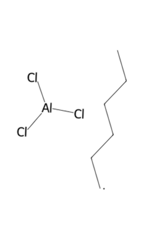 [CH2]CCCCC.[Cl][Al]([Cl])[Cl]